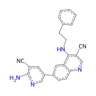 N#Cc1cc(-c2ccc3ncc(C#N)c(NCCc4ccccc4)c3c2)cnc1N